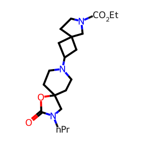 CCCN1CC2(CCN(C3CC4(CCN(C(=O)OCC)C4)C3)CC2)OC1=O